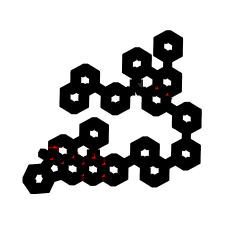 CC1(C)c2ccccc2-c2ccc(N(c3cccc(-c4cccc5c(-c6cccc(-c7cccc(-c8ccc(N(c9cccc(-c%10cccc%11ccccc%10%11)c9)c9ccccc9-c9ccccc9-c9ccccc9)cc8)c7)c6)cccc45)c3)c3ccccc3-c3ccccc3-c3ccccc3)cc21